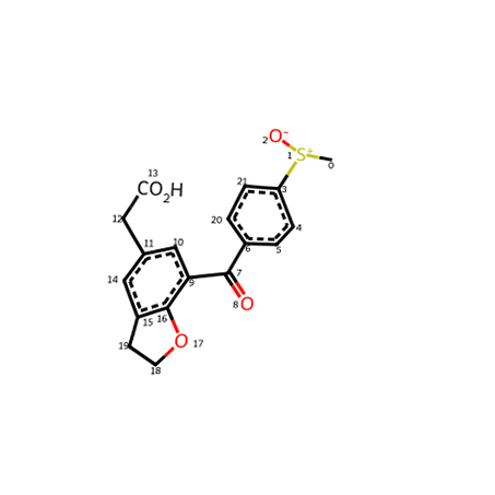 C[S+]([O-])c1ccc(C(=O)c2cc(CC(=O)O)cc3c2OCC3)cc1